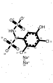 O=S(=O)([O-])NN(c1cc(O)c(Cl)cc1Cl)S(=O)(=O)[O-].[Na+].[Na+]